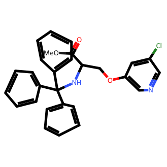 COC(=O)C(COc1cncc(Cl)c1)NC(c1ccccc1)(c1ccccc1)c1ccccc1